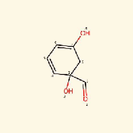 O=[C]C1(O)C=CC=C(O)C1